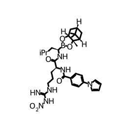 CC(C)C[C@H](NC(=O)[C@H](CCCNC(=N)N[N+](=O)[O-])NC(=O)c1ccc(-n2cccc2)cc1)B1O[C@@H]2C[C@@H]3C[C@@H](C3(C)C)[C@]2(C)O1